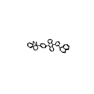 c1cc(-c2cccc3ccccc23)cc(-c2c3ccccc3c(-c3ccc(-c4nc5ccccc5o4)cc3)c3ccccc23)c1